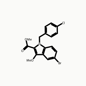 COC(=O)c1c(OC)c2cc(Br)ccc2n1Cc1ccc(Cl)cc1